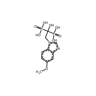 COc1ccc2c(c1)ncn2CC(O)(P(=O)(O)O)P(=O)(O)O